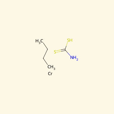 CCCC.NC(=S)S.[Cr]